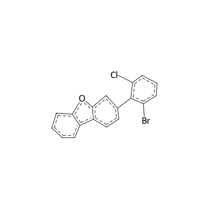 Clc1cccc(Br)c1-c1ccc2c(c1)oc1ccccc12